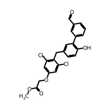 COC(=O)COc1cc(Cl)c(Cc2ccc(O)c(-c3cccc(C=O)c3)c2)c(Cl)c1